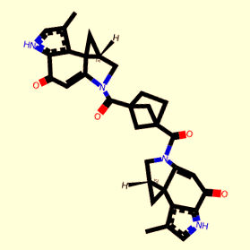 Cc1c[nH]c2c1C13C[C@@H]1CN(C(=O)C14CCC(C(=O)N5C[C@H]6CC67C5=CC(=O)c5[nH]cc(C)c57)(C1)C4)C3=CC2=O